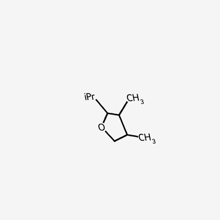 CC(C)C1OCC(C)C1C